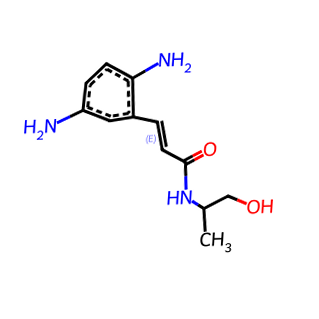 CC(CO)NC(=O)/C=C/c1cc(N)ccc1N